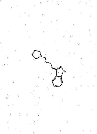 c1ccc2c(CCCCN3CCCC3)c[nH]c2c1